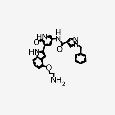 NCCOc1cccc2[nH]c(-c3cc(NC(=O)c4cnn(Cc5ccccc5)c4)c[nH]c3=O)cc12